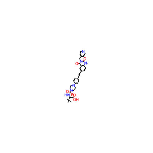 Cn1c(=O)n(Cc2ccncc2)c(=O)c2cc(C#Cc3ccc(N4CCN(S(=O)(=O)N[C@@H](C(=O)O)C(C)(C)C)CC4)cc3)ccc21